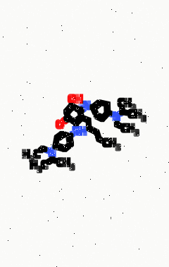 CCCCCC1=C(Nc2ccc(N(CC)C(C)C)cc2)C(=O)C=C(O)/C1=N/c1ccc(N(CC)C(C)C)cc1